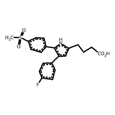 CS(=O)(=O)c1ccc(-c2[nH]c(CCCC(=O)O)cc2-c2ccc(F)cc2)cc1